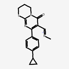 C/N=C/c1c(-c2ccc(C3CC3)cc2)nc2n(c1=O)CCCS2